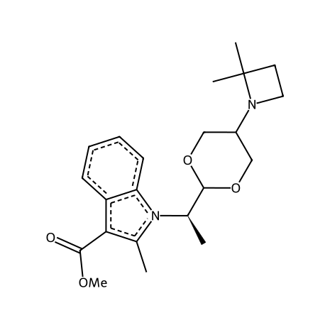 COC(=O)c1c(C)n([C@H](C)C2OCC(N3CCC3(C)C)CO2)c2ccccc12